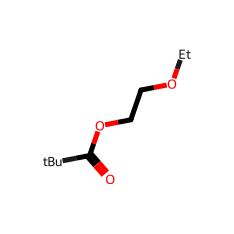 CCOCCOC(=O)C(C)(C)C